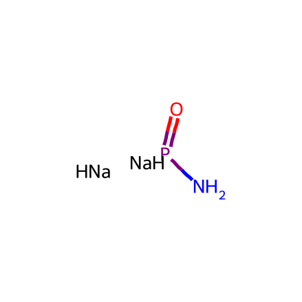 NP=O.[NaH].[NaH]